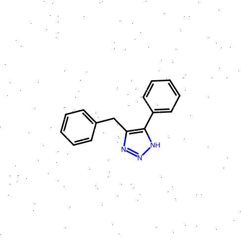 [c]1ccccc1-c1[nH]nnc1Cc1ccccc1